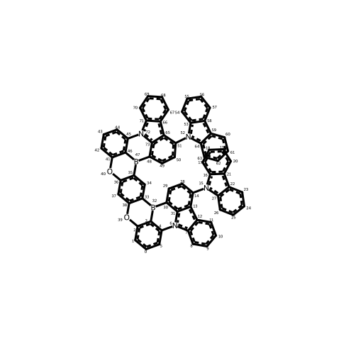 c1cc2c3c(c1)-n1c4ccccc4c4c(-n5c6ccccc6c6ccccc65)ccc(c41)B3c1cc3c(cc1O2)Oc1cccc2c1B3c1ccc(-n3c4ccccc4c4ccccc43)c3c4ccccc4n-2c13